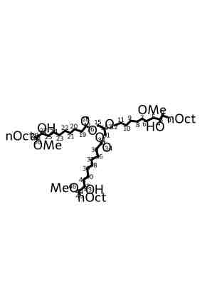 CCCCCCCCC(OC)C(O)CCCCCCCCOC(COC(=O)CCCCCCCC(O)C(CCCCCCCC)OC)COC(=O)CCCCCCCC(O)C(CCCCCCCC)OC